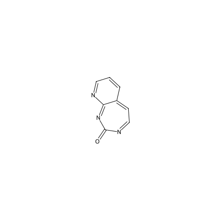 O=c1nccc2cccnc2n1